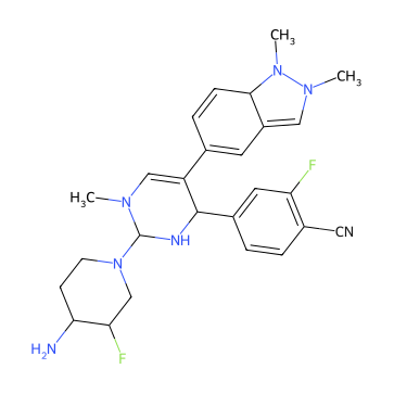 CN1C=C(C2=CC3=CN(C)N(C)C3C=C2)C(c2ccc(C#N)c(F)c2)NC1N1CCC(N)C(F)C1